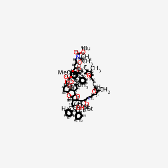 C=C1C(C)CC2CC[C@@H]3OC(/C=C/C(O[Si](CC)(CC)CC)CC4OC5C(CC(C)(C)[Si](O)(c6ccccc6)c6ccccc6)[C@H]6OC(CCC6O[C@H]5C4CC(C)(C)[Si](O)(c4ccccc4)c4ccccc4)CC(=O)CC4[C@H](CC1O2)O[C@H](CC1CN(C(=O)OC(C)(C)C)C(C)(C)O1)[C@@H]4OC)CC3=C